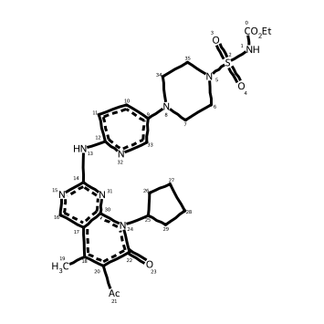 CCOC(=O)NS(=O)(=O)N1CCN(c2ccc(Nc3ncc4c(C)c(C(C)=O)c(=O)n(C5CCCC5)c4n3)nc2)CC1